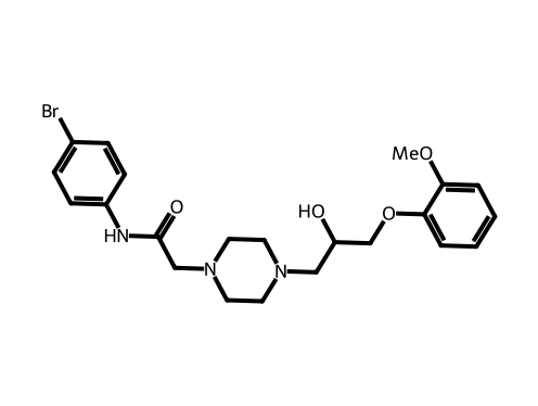 COc1ccccc1OCC(O)CN1CCN(CC(=O)Nc2ccc(Br)cc2)CC1